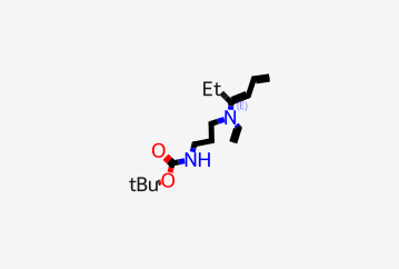 C=C/C=C(\CC)N(C=C)CCCNC(=O)OC(C)(C)C